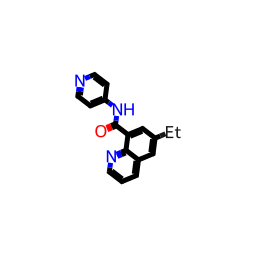 CCc1cc(C(=O)Nc2ccncc2)c2ncccc2c1